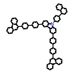 c1ccc2c(-c3ccc(-n4c5ccc(-c6ccc(-c7ccc(-c8cc9ccccc9c9ccccc89)cc7)cc6)cc5c5cc(-c6ccc(-c7ccc(-c8cc9ccccc9c9ccccc89)cc7)cc6)ccc54)cc3)cccc2c1